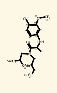 COC(CN(CCCC(=O)O)C(=O)C(C)Nc1ccc(Cl)c(OC(F)(F)F)c1)OC